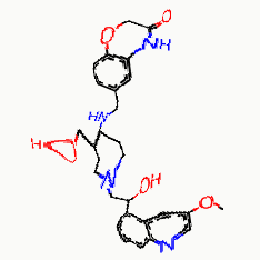 COc1cnc2cccc(C(O)CN3CCC(NCc4ccc5c(c4)NC(=O)CO5)C(CO)C3)c2c1